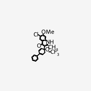 COc1cc2[nH]c(C)c(C3(OCC(F)(F)F)C=CC(c4ccccc4)=CC3)c(=O)c2cc1Cl